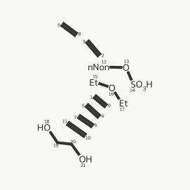 C=C.C=C.C=C.C=C.C=C.C=C.CCCCCCCCCOS(=O)(=O)O.CCOCC.OCCO